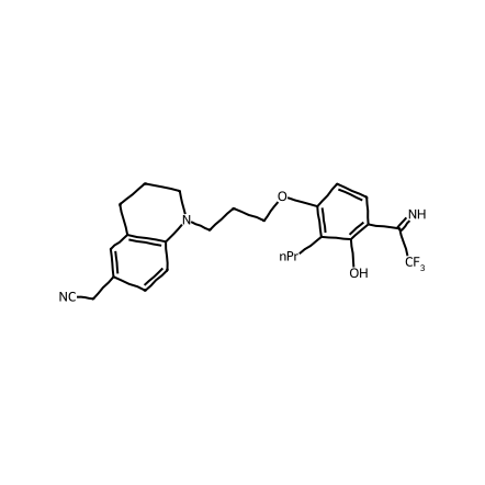 CCCc1c(OCCCN2CCCc3cc(CC#N)ccc32)ccc(C(=N)C(F)(F)F)c1O